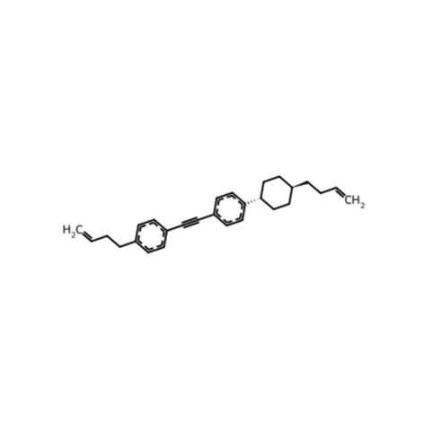 C=CCCc1ccc(C#Cc2ccc([C@H]3CC[C@H](CCC=C)CC3)cc2)cc1